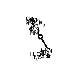 COC(=O)N[C@H](C(=O)N1CCC[C@H]1c1ncc(-c2ccc(C#CC#Cc3cnc([C@@H]4CCCN4C(=O)OC(C)(C)C)[nH]3)cc2)[nH]1)C(C)C